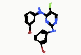 Fc1cnc(Nc2cccc(Br)c2)nc1Nc1cccc(Br)c1